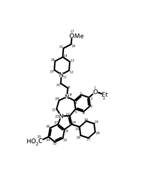 CCOc1ccc2c(c1)N(CCN1CCC(CCOC)CC1)CCn1c-2c(C2CCCCC2)c2ccc(C(=O)O)cc21